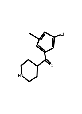 Cc1cc(Cl)cc(C(=O)C2CCNCC2)c1